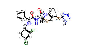 Cn1nnnc1SCC1=C(C(=O)O)N2C(=O)C(NC(=O)[C@@H](NCc3ccc(Cl)cc3Cl)c3ccccc3)[C@@H]2SC1